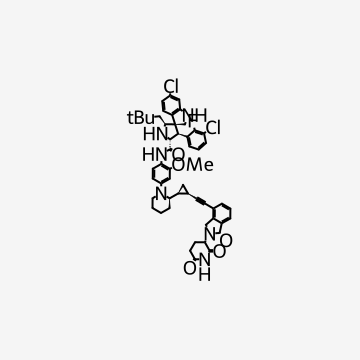 COc1cc(N2CCCC[C@@H]2[C@H]2C[C@H]2C#Cc2cccc3c2CN(C2CCC(=O)NC2=O)C3=O)ccc1NC(=O)[C@@H]1N[C@@H](CC(C)(C)C)[C@@]2(CNc3cc(Cl)ccc32)[C@H]1c1cccc(Cl)c1F